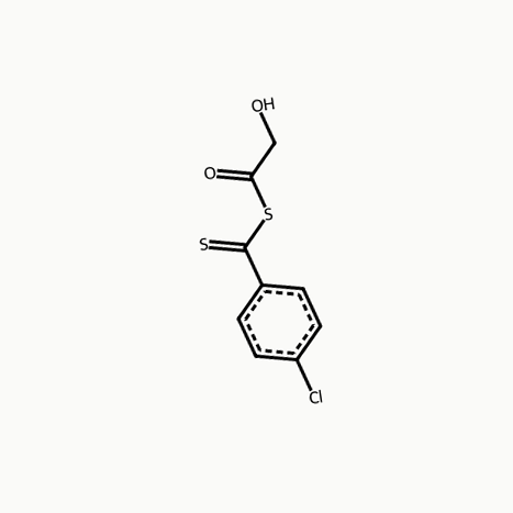 O=C(CO)SC(=S)c1ccc(Cl)cc1